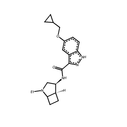 CCN1C[C@@H](NC(=O)c2n[nH]c3ccc(OCC4CC4)cc23)[C@H]2CCC21